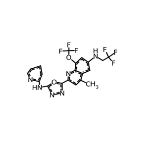 Cc1cc(-c2nnc(Nc3ccccn3)o2)nc2c(OC(F)(F)F)cc(NCC(F)(F)F)cc12